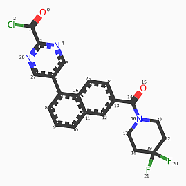 O=C(Cl)c1ncc(-c2cccc3cc(C(=O)N4CCC(F)(F)CC4)ccc23)cn1